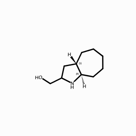 OCC1C[C@@H]2CCCCC[C@H]2N1